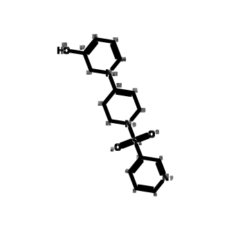 O=S(=O)(c1cccnc1)N1CC=C(N2C=CC=C(O)C2)CC1